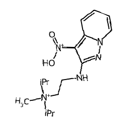 CC(C)[N+](C)(CCNc1nn2ccccc2c1[N+](=O)O)C(C)C